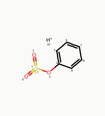 O=[SH](=O)Oc1ccccc1.[H+]